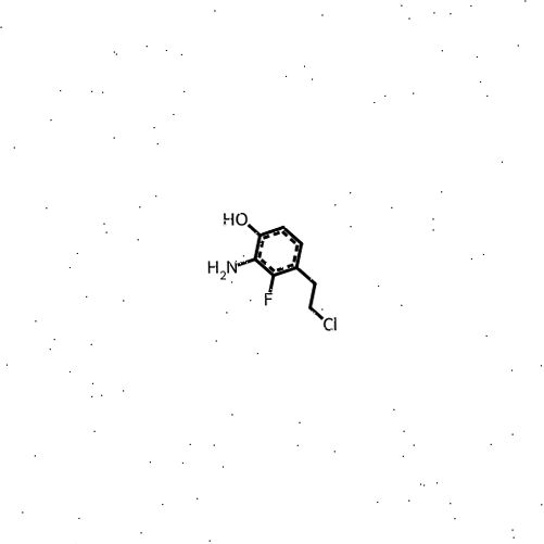 Nc1c(O)ccc(CCCl)c1F